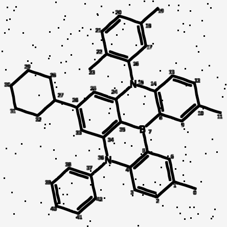 Cc1ccc2c(c1)B1c3cc(C)ccc3N(c3cc(C)ccc3C)c3cc(C4CCCCC4)cc(c31)N2c1ccccc1